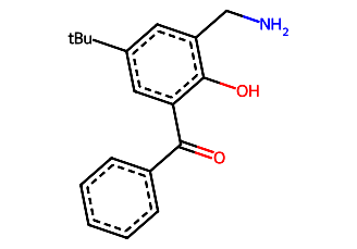 CC(C)(C)c1cc(CN)c(O)c(C(=O)c2ccccc2)c1